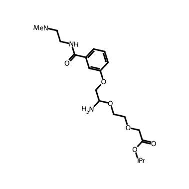 CNCCNC(=O)c1cccc(OCC(N)OCCOCC(=O)OC(C)C)c1